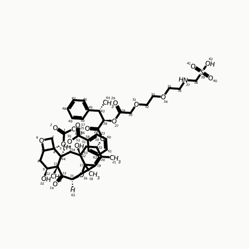 CC(=O)O[C@@]12COC1C[C@H](O)[C@@]1(C)C(=O)[C@@H]3OC4(C)C3=C(C)[C@@H](OC(=O)[C@H](OC(=O)COCCOCCNCS(=O)(=O)O)[C@@H](C)c3ccccc3)C[C@@]4(O)[C@@H](OC(=O)c3ccccc3)[C@@H]12